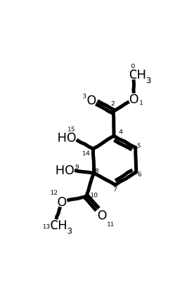 COC(=O)C1=CC=CC(O)(C(=O)OC)C1O